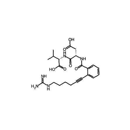 CC(C)[C@H](NC(=O)[C@H](CC(=O)O)NC(=O)c1ccccc1C#CCCCCNC(=N)N)C(=O)O